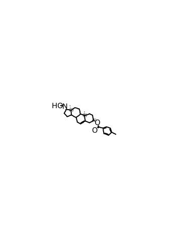 Cc1ccc(C(=O)O[C@H]2CC[C@@]3(C)C(=CCC4C3CC[C@]3(C)C(=NO)CCC43)C2)cc1